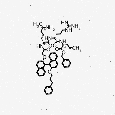 C=CC[C@H](NC(=O)[C@@H](CCCNC(=N)N)NC(=O)[C@@H](CCC[C@H](C)N)NC(=O)COc1ccc2ccccc2c1-c1c(OCCCc2ccccc2)ccc2ccccc12)C(=O)OCc1ccccc1